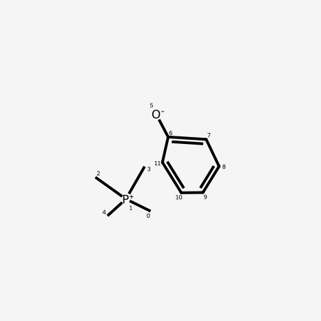 C[P+](C)(C)C.[O-]c1ccccc1